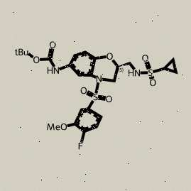 COc1cc(S(=O)(=O)N2C[C@H](CNS(=O)(=O)C3CC3)Oc3ccc(NC(=O)OC(C)(C)C)cc32)ccc1F